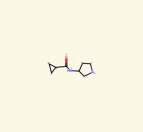 O=C(NC1CC[N]C1)C1CC1